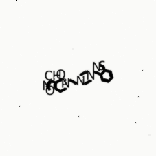 Cc1noc2c1C(=O)N(CCN1CCN(C3=NSC4C=CC=CC34)CC1)CC2